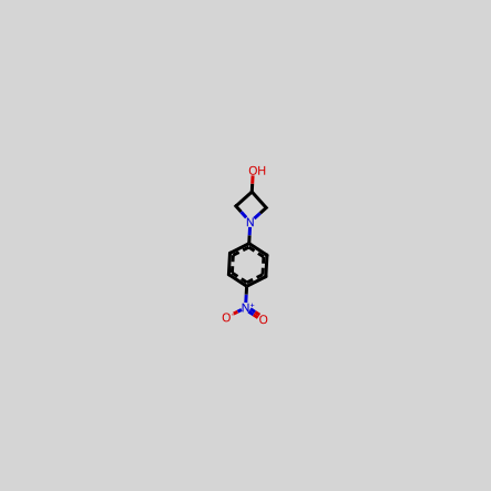 O=[N+]([O-])c1ccc(N2CC(O)C2)cc1